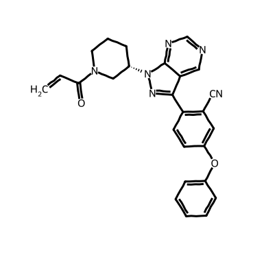 C=CC(=O)N1CCC[C@H](n2nc(-c3ccc(Oc4ccccc4)cc3C#N)c3cncnc32)C1